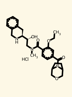 CCOc1cc(C(=O)N2C3CCC2COC3)ccc1C(=O)N(C)C[C@@H](O)[C@@H]1Cc2ccccc2CN1.Cl